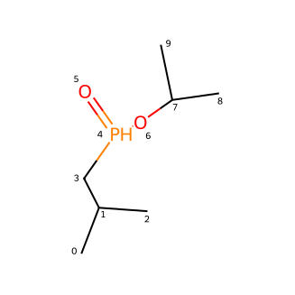 CC(C)C[PH](=O)OC(C)C